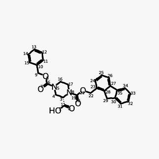 O=C(O)[C@@H]1CN(C(=O)OCc2ccccc2)CCN1C(=O)OCc1cccc2c1Cc1ccccc1-2